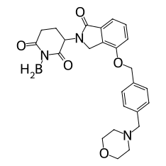 BN1C(=O)CCC(N2Cc3c(OCc4ccc(CN5CCOCC5)cc4)cccc3C2=O)C1=O